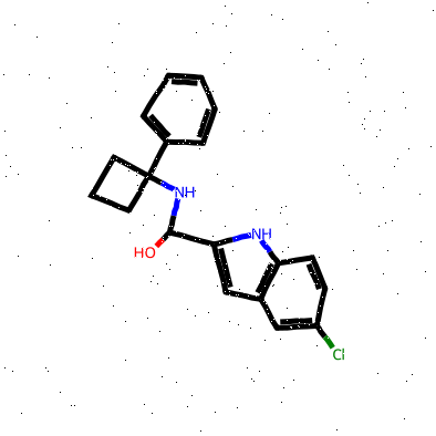 OC(NC1(c2ccccc2)CCC1)c1cc2cc(Cl)ccc2[nH]1